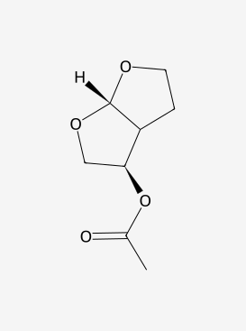 CC(=O)O[C@H]1CO[C@@H]2OCCC21